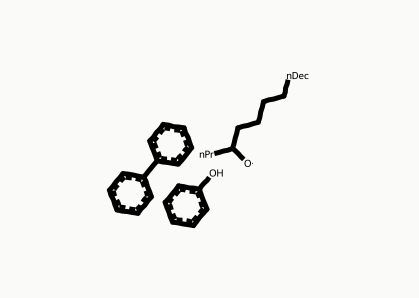 CCCCCCCCCCCCCCC([O])CCC.Oc1ccccc1.c1ccc(-c2ccccc2)cc1